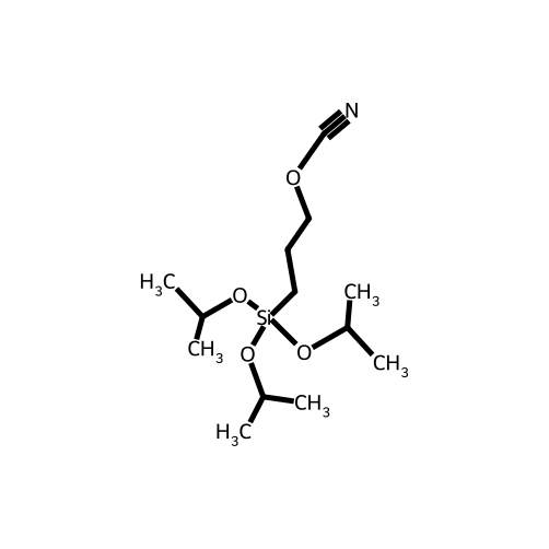 CC(C)O[Si](CCCOC#N)(OC(C)C)OC(C)C